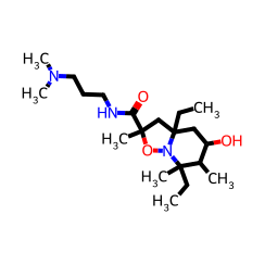 CCC12CC(O)C(C)C(C)(CC)N1OC(C)(C(=O)NCCCN(C)C)C2